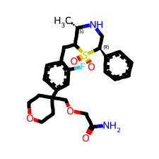 C[C@@H]1NC[C@@H](c2ccccc2)S(=O)(=O)C1Cc1ccc(C2(COCC(N)=O)CCOCC2)cc1F